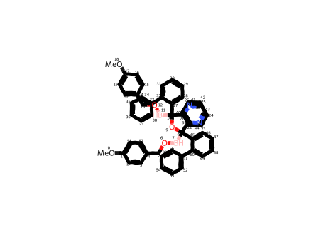 COc1ccc(COBC(OC(BOCc2ccc(OC)cc2)(c2ccccn2)c2ccccc2-c2ccccc2)(c2ccccn2)c2ccccc2-c2ccccc2)cc1